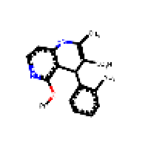 CC1=C(C(=O)O)C(c2ccccc2[N+](=O)[O-])c2c(ccnc2OC(C)C)N1